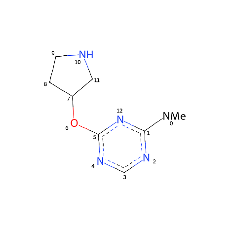 CNc1ncnc(OC2CCNC2)n1